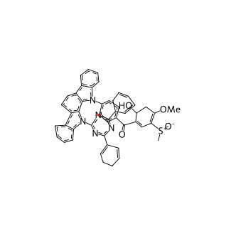 COC1=C([S+](C)[O-])C=C(C(=O)c2ccc(-n3c4ccccc4c4ccc5c6ccccc6n(-c6nc(C7=CCCC=C7)nc(C7C=CC=CC7)n6)c5c43)cc2)C(O)C1